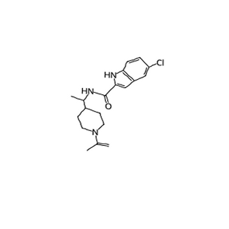 C=C(C)N1CCC(C(C)NC(=O)c2cc3cc(Cl)ccc3[nH]2)CC1